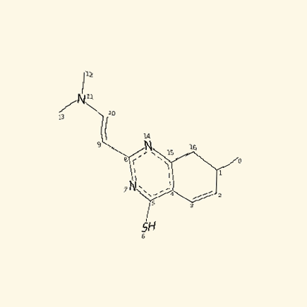 CC1C=Cc2c(S)nc(C=CN(C)C)nc2C1